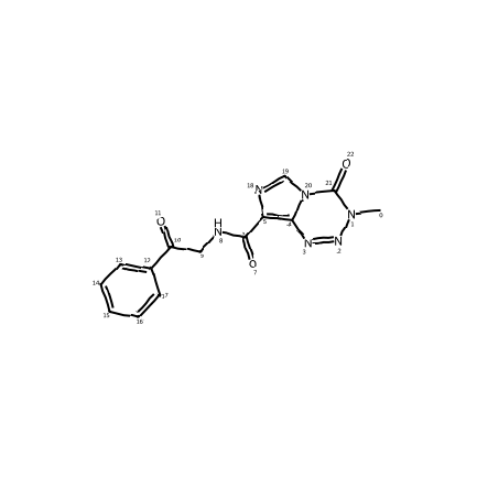 Cn1nnc2c(C(=O)NCC(=O)c3ccccc3)ncn2c1=O